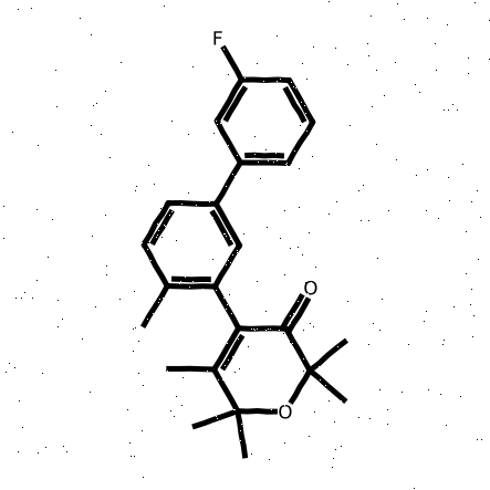 CC1=C(c2cc(-c3cccc(F)c3)ccc2C)C(=O)C(C)(C)OC1(C)C